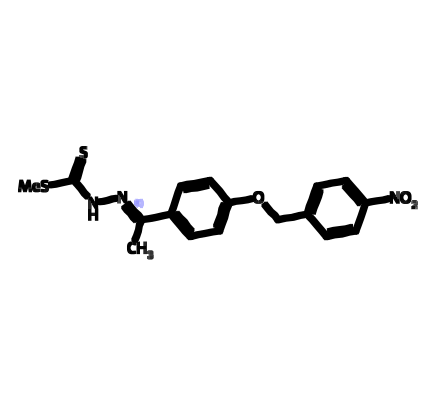 CSC(=S)N/N=C(\C)c1ccc(OCc2ccc([N+](=O)[O-])cc2)cc1